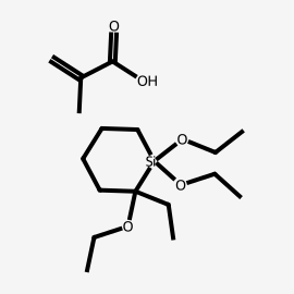 C=C(C)C(=O)O.CCOC1(CC)CCCC[Si]1(OCC)OCC